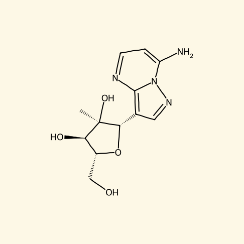 C[C@@]1(O)[C@H](O)[C@@H](CO)O[C@H]1c1cnn2c(N)ccnc12